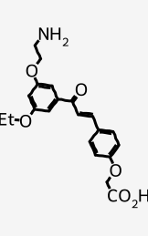 CCOc1cc(OCCN)cc(C(=O)C=Cc2ccc(OCC(=O)O)cc2)c1